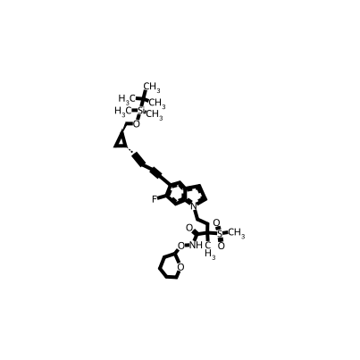 CC(C)(C)[Si](C)(C)OC[C@@H]1C[C@H]1C#CC#Cc1cc2ccn(CCC(C)(C(=O)NOC3CCCCO3)S(C)(=O)=O)c2cc1F